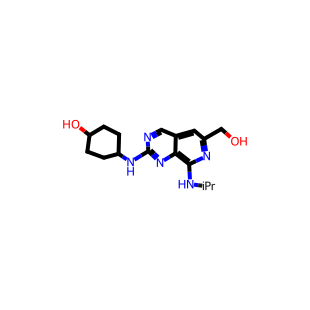 CC(C)Nc1nc(CO)cc2cnc(NC3CCC(O)CC3)nc12